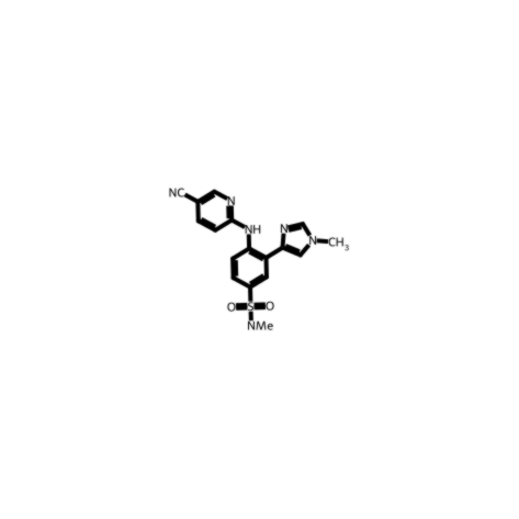 CNS(=O)(=O)c1ccc(Nc2ccc(C#N)cn2)c(-c2cn(C)cn2)c1